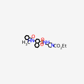 CCOC(=O)N1CCC(CNS(=O)(=O)c2ccc(NC(=O)c3ccccc3C)c3ccccc23)CC1